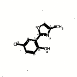 Cc1coc(-c2cc(Cl)ccc2O)n1